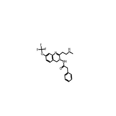 CNCCC1=Nc2cc(OC(F)(F)F)ccc2CN1NC(=O)Cc1ccccc1